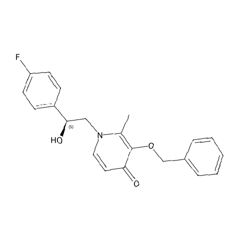 Cc1c(OCc2ccccc2)c(=O)ccn1C[C@@H](O)c1ccc(F)cc1